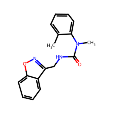 Cc1ccccc1N(C)C(=O)NCc1noc2ccccc12